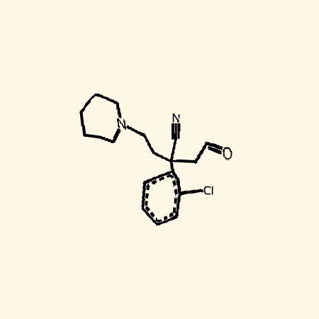 N#CC(CC=O)(CCN1CCCCC1)c1ccccc1Cl